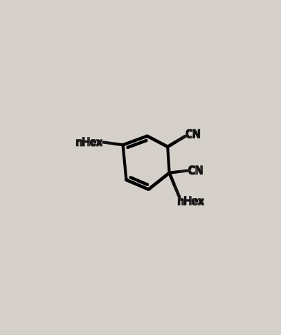 CCCCCCC1=CC(C#N)C(C#N)(CCCCCC)C=C1